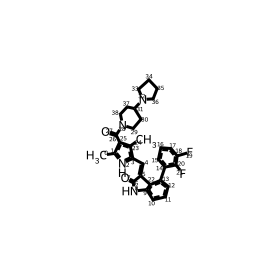 Cc1[nH]c(/C=C2\C(=O)Nc3cccc(-c4cccc(F)c4F)c32)c(C)c1C(=O)N1CCC(N2CCCC2)CC1